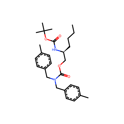 CCCC[C@@H](COC(=O)N(Cc1ccc(C)cc1)Cc1ccc(C)cc1)NC(=O)OC(C)(C)C